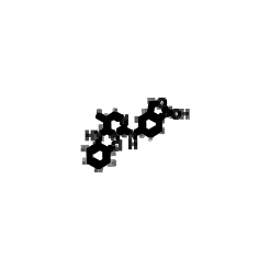 Cc1cnc(Nc2ccc3c(c2)COB3O)nc1Nc1ccccc1Cl